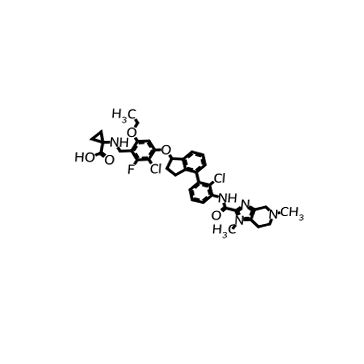 CCOc1cc(OC2CCc3c(-c4cccc(NC(=O)c5nc6c(n5C)CCN(C)C6)c4Cl)cccc32)c(Cl)c(F)c1CNC1(C(=O)O)CC1